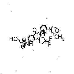 C[C@@H]1CN(c2cccc(NC(=O)c3ccc(NS(=O)(=O)CCO)cc3N3CCC(=C(F)F)CC3)n2)CCO1